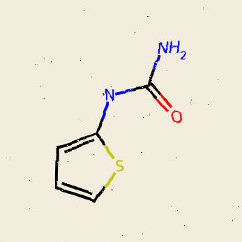 NC(=O)[N]c1cccs1